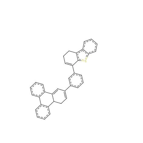 C1=C(c2cccc(C3=CCCc4c3sc3ccccc43)c2)C=C2c3ccccc3-c3ccccc3C2C1